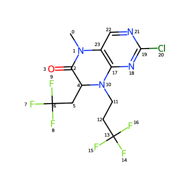 CN1C(=O)C(CC(F)(F)F)N(CCC(F)(F)F)c2nc(Cl)ncc21